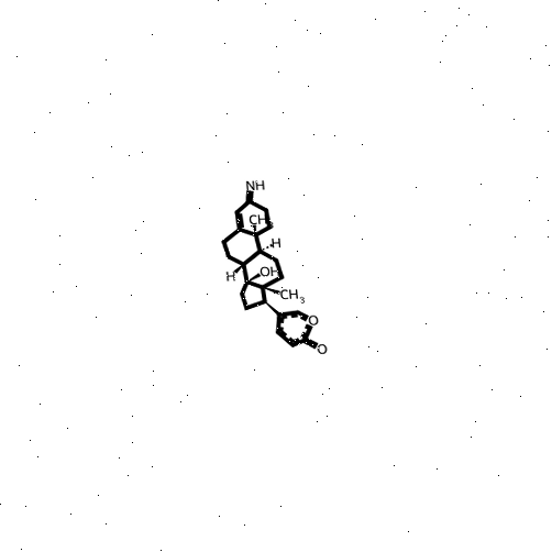 C[C@]12CCC(=N)C=C1CC[C@@H]1[C@@H]2CC[C@]2(C)[C@@H](c3ccc(=O)oc3)CC[C@]12O